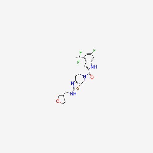 CC(F)(F)c1cc(F)cc2[nH]c(C(=O)N3CCc4nc(NCC5CCOC5)sc4C3)cc12